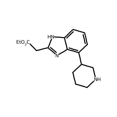 CCOC(=O)Cc1nc2c(C3CCCNC3)cccc2[nH]1